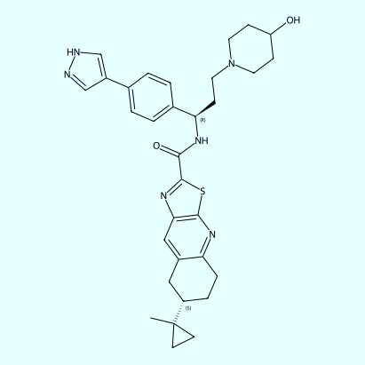 CC1([C@H]2CCc3nc4sc(C(=O)N[C@H](CCN5CCC(O)CC5)c5ccc(-c6cn[nH]c6)cc5)nc4cc3C2)CC1